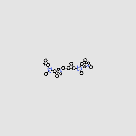 CC1(C)c2ccccc2-c2ccc(-c3nc(-c4ccccc4)nc(-c4ccc5c(c4)-c4ccccc4C54c5ccccc5-n5c6cc(-c7ccc8c9ccc(-c%10nc(-c%11ccccc%11)nc(-c%11ccc%12c(c%11)C%11(c%13ccccc%13-%12)c%12ccccc%12-n%12c%13ccccc%13c%13cccc%11c%13%12)n%10)cc9c9ccccc9c8c7)ccc6c6cccc4c65)n3)cc21